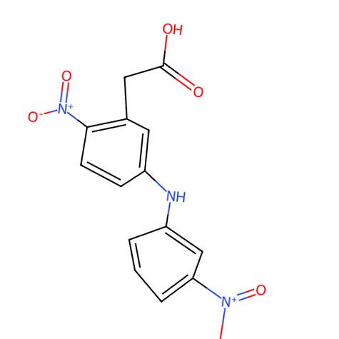 O=C(O)Cc1cc(Nc2cccc([N+](=O)[O-])c2)ccc1[N+](=O)[O-]